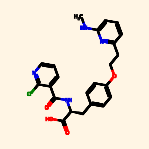 CNc1cccc(CCOc2ccc(C[C@H](NC(=O)c3cccnc3Cl)C(=O)O)cc2)n1